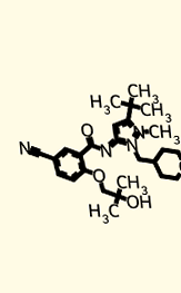 Cn1c(C(C)(C)C)cc(=NC(=O)c2cc(C#N)ccc2OCC(C)(C)O)n1CC1CCOCC1